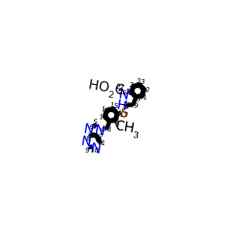 Cc1c(Cn2cnc3ncncc32)cccc1SCCc1ccccc1NC(=O)O